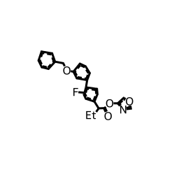 CCC(C(=O)Oc1cocn1)c1ccc(-c2cccc(OCc3ccccc3)c2)c(F)c1